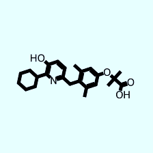 Cc1cc(OC(C)(C)C(=O)O)cc(C)c1Cc1ccc(O)c(C2CCCCC2)n1